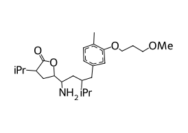 COCCCOc1cc(CC(CC(N)C2CC(C(C)C)C(=O)O2)C(C)C)ccc1C